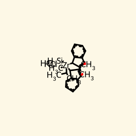 CC1=Cc2ccccc2[CH]1[Zr]([CH3])(=[SiH2])([CH](C)C)[CH]1C(C)=Cc2ccccc21.Cl.Cl